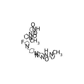 Cc1cccc(C(=O)Nc2cc3cn([C@H]4CC[C@H](CN5CC[C@@H](c6cccc7c6n(C)c(=O)n7C6CCC(=O)NC6=O)[C@@H](F)C5)CC4)nc3cn2)n1